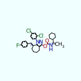 C[C@H](NC(=O)Oc1nn(-c2ccc(Cl)cc2Cl)c2c1CCCC/C2=C\c1ccc(F)cc1)C1CCCCC1